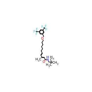 CC(C=CCCCCCCOCc1cc(C(F)(F)F)cc(C(F)(F)F)c1)=CC(=O)NCC(C)(C)C